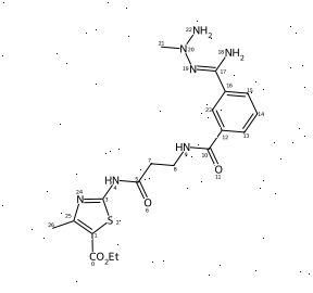 CCOC(=O)c1sc(NC(=O)CCNC(=O)c2cccc(/C(N)=N/N(C)N)c2)nc1C